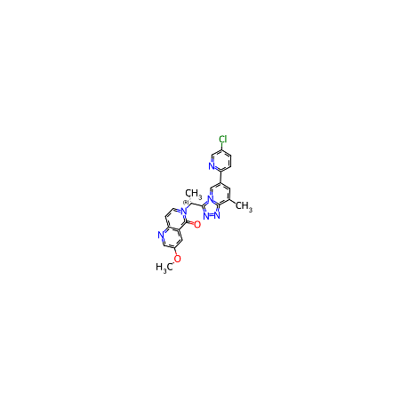 COc1cnc2ccn([C@H](C)c3nnc4c(C)cc(-c5ccc(Cl)cn5)cn34)c(=O)c2c1